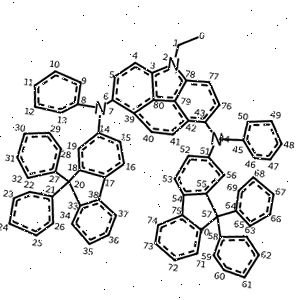 CCn1c2ccc(N(c3ccccc3)c3ccc4c(c3)C(c3ccccc3)(c3ccccc3)c3ccccc3-4)c3ccc4c(N(c5ccccc5)c5ccc6c(c5)C(c5ccccc5)(c5ccccc5)c5ccccc5-6)ccc1c4c32